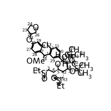 CC[Si](=O)CC[C@H]1O[C@@](O)(c2ccc(Cl)c(C(OC)c3ccc(OC4CCOC4)cc3)c2)[C@H](O[Si](C)(C)C)[C@@H](O[Si](C)(C)C)[C@@H]1C[Si](=O)CC